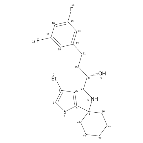 CCc1csc(C2(NC[C@@H](O)CCc3cc(F)cc(F)c3)CCCCC2)c1